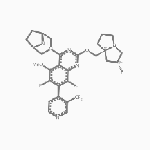 COc1c(F)c(-c2ccncc2C(F)(F)F)c(F)c2nc(OC[C@@]34CCCN3C[C@H](F)C4)nc(N3CC4CCC(C3)N4)c12